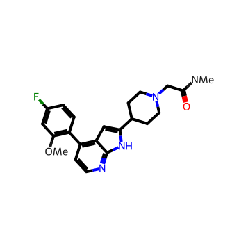 CNC(=O)CN1CCC(c2cc3c(-c4ccc(F)cc4OC)ccnc3[nH]2)CC1